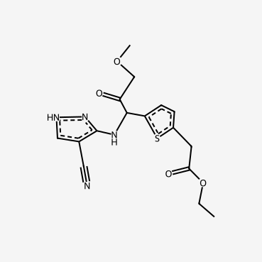 CCOC(=O)Cc1ccc(C(Nc2n[nH]cc2C#N)C(=O)COC)s1